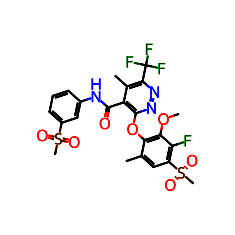 COc1c(F)c(S(C)(=O)=O)cc(C)c1Oc1nnc(C(F)(F)F)c(C)c1C(=O)Nc1cccc(S(C)(=O)=O)c1